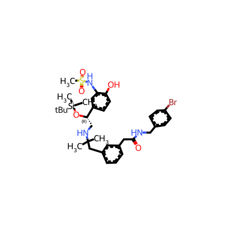 CC(C)(Cc1cccc(CC(=O)NCc2ccc(Br)cc2)c1)NC[C@H](O[Si](C)(C)C(C)(C)C)c1ccc(O)c(NS(C)(=O)=O)c1